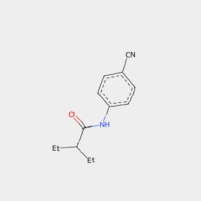 CCC(CC)C(=O)Nc1ccc(C#N)cc1